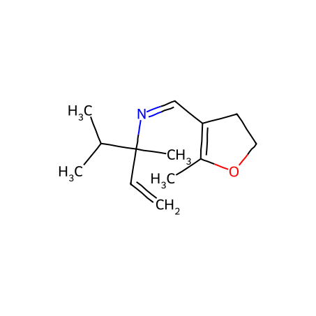 C=CC(C)(/N=C\C1=C(C)OCC1)C(C)C